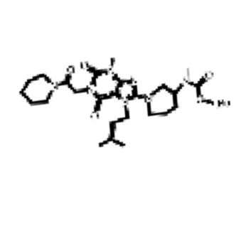 CC(C)=CCn1c(N2CCCC(NC(=O)OC(C)(C)C)C2)nc2c1c(=O)n(CC(=O)N1CCCCC1)c(=O)n2C